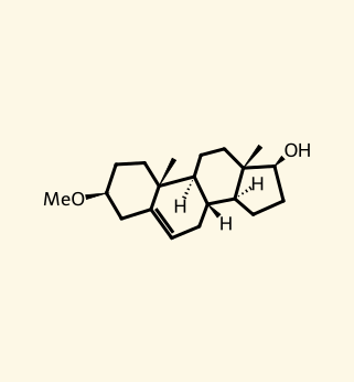 CO[C@H]1CC[C@@]2(C)C(=CC[C@H]3[C@@H]4CC[C@H](O)[C@@]4(C)CC[C@@H]32)C1